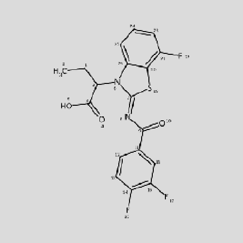 CCC(C(=O)O)n1/c(=N/C(=O)c2ccc(F)c(F)c2)sc2c(F)cccc21